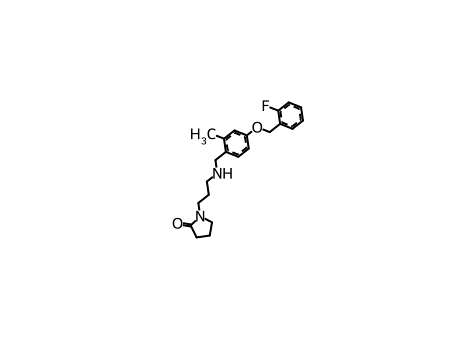 Cc1cc(OCc2ccccc2F)ccc1CNCCCN1CCCC1=O